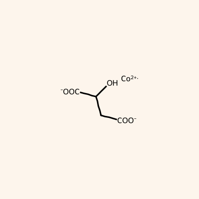 O=C([O-])CC(O)C(=O)[O-].[Co+2]